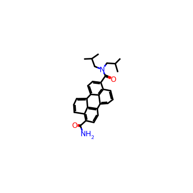 CC(C)CN(CC(C)C)C(=O)c1ccc2c3cccc4c(C(N)=O)ccc(c5cccc1c52)c43